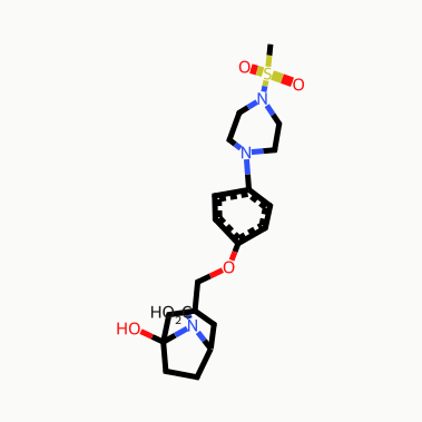 CS(=O)(=O)N1CCN(c2ccc(OCC3CC4CCC(O)(C3)N4C(=O)O)cc2)CC1